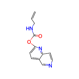 C=CCNC(=O)Oc1ccc2cnccc2n1